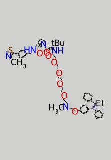 CC/C(=C(\c1ccccc1)c1ccc(OCCN(C)CCOCCOCCOCCOCC(=O)N[C@H](C(=O)N2CCC[C@H]2C(=O)NCc2ccc(-c3scnc3C)cc2)C(C)(C)C)cc1)c1ccccc1